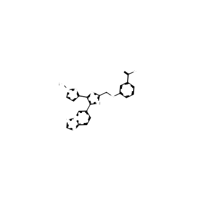 CC(C)n1ccc(-c2nc(CNc3cccc(C(N)=O)c3)[nH]c2-c2ccc3ncnn3c2)n1